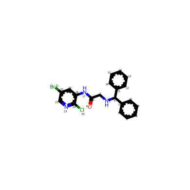 O=C(CNC(c1ccccc1)c1ccccc1)Nc1cc(Br)cnc1Cl